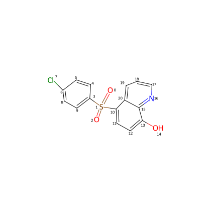 O=S(=O)(c1ccc(Cl)cc1)c1ccc(O)c2ncccc12